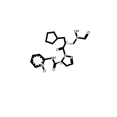 O=CN(O)C[C@@H](CC1CCCC1)C(=O)N1N=CC[C@H]1C(=O)Nc1cccc[n+]1[O-]